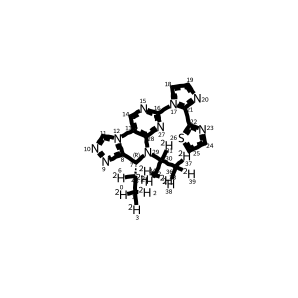 [2H]C([2H])([2H])C([2H])([2H])[C@@H]1c2nncn2-c2cnc(-n3ccnc3-c3nccs3)nc2N1C([2H])(C([2H])([2H])[2H])C([2H])([2H])[2H]